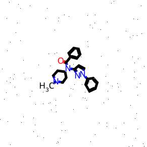 CN1CCC(N(C(=O)c2ccccc2)c2ccn(-c3ccccc3)n2)CC1